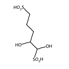 O=S(=O)(O)CCCC(O)C(O)S(=O)(=O)O